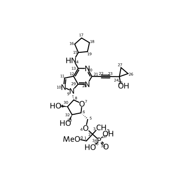 COCC(C)(OC[C@H]1O[C@@H](n2ncc3c(NC4CCCC4)nc(C#CC4(O)CC4)nc32)[C@H](O)[C@@H]1O)P(=O)(O)O